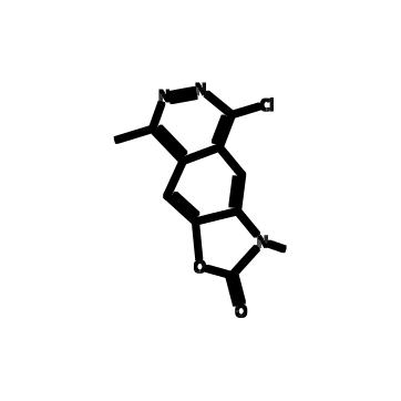 Cc1nnc(Cl)c2cc3c(cc12)oc(=O)n3C